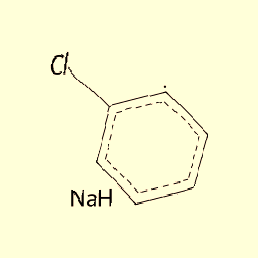 Clc1[c]cccc1.[NaH]